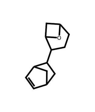 C1=CC2CC1CC2C1CCC2CC1O2